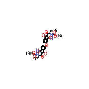 CC(C)C[C@@H](NC(=O)OC(C)(C)C)C(=O)C1C(=O)c2ccc(Oc3ccc4c(c3)C(=O)C(C(=O)[C@@H](CC(C)C)NC(=O)OC(C)(C)C)C4=O)cc2C1=O